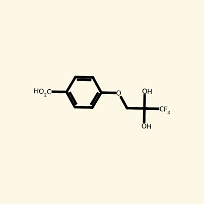 O=C(O)c1ccc(OCC(O)(O)C(F)(F)F)cc1